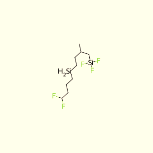 CC(CC[SiH2]CCCC(F)F)C[Si](F)(F)F